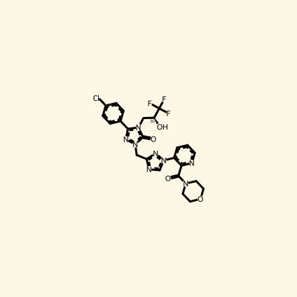 O=C(c1ncccc1-n1cnc(Cn2nc(-c3ccc(Cl)cc3)n(C[C@H](O)C(F)(F)F)c2=O)n1)N1CCOCC1